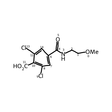 COCCNC(=O)c1cc(Cl)c(C(=O)O)c(Cl)c1